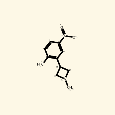 Cc1ccc([N+](=O)[O-])cc1C1CN(C)C1